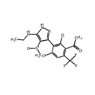 CCNc1[nH]nc(-c2c(Cl)cc(C(F)(F)F)c(C(C)=O)c2Cl)c1[S+](C)[O-]